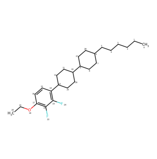 CCCCCCC1CCC(C2CCC(c3ccc(OCC)c(F)c3F)CC2)CC1